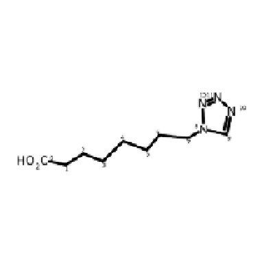 O=C(O)CCCCCCCn1cnnn1